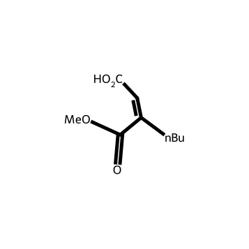 CCCCC(=CC(=O)O)C(=O)OC